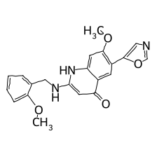 COc1ccccc1CNc1cc(=O)c2cc(-c3cnco3)c(OC)cc2[nH]1